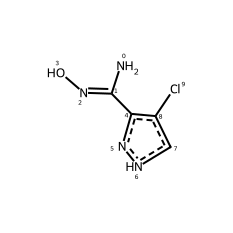 N/C(=N\O)c1n[nH]cc1Cl